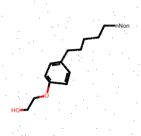 CCCCCCCCCCCCCCc1ccc(OCCO)cc1